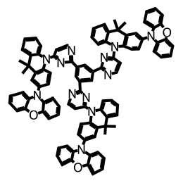 CC1(C)c2ccccc2N(c2ccnc(-c3cc(-c4nccc(N5c6ccccc6C(C)(C)c6cc(N7c8ccccc8Oc8ccccc87)ccc65)n4)cc(-c4nccc(N5c6ccccc6C(C)(C)c6cc(N7c8ccccc8Oc8ccccc87)ccc65)n4)c3)n2)c2ccc(N3c4ccccc4Oc4ccccc43)cc21